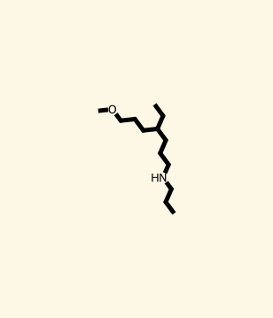 CCCNCCCC(CC)CCCOC